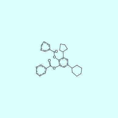 O=C(Oc1cc(C2CCCCC2)cc(C2CCCC2)c1OC(=O)c1ccccc1)c1ccccc1